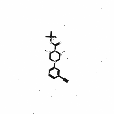 C#Cc1cccc(N2C[C@@H](C)N(C(=O)OC(C)(C)C)[C@@H](C)C2)c1